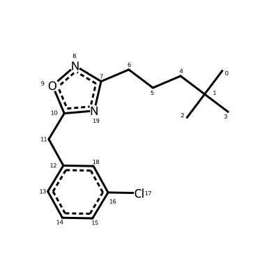 CC(C)(C)CCCc1noc(Cc2cccc(Cl)c2)n1